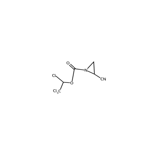 N#CC1CN1C(=O)OC(Cl)C(Cl)(Cl)Cl